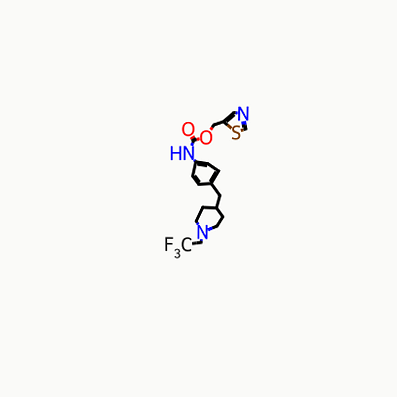 O=C(Nc1ccc(CC2CCN(CC(F)(F)F)CC2)cc1)OCc1cncs1